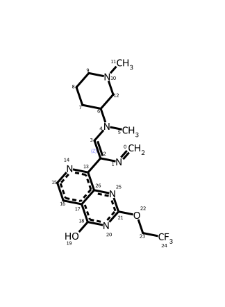 C=N/C(=C\N(C)C1CCCN(C)C1)c1nccc2c(O)nc(OCC(F)(F)F)nc12